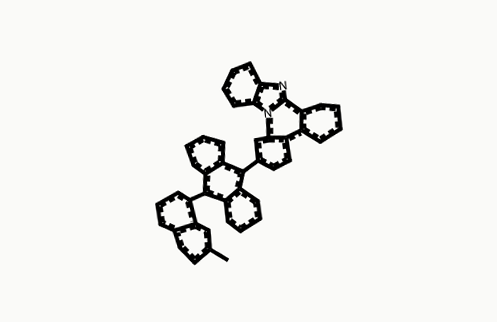 Cc1ccc2cccc(-c3c4ccccc4c(-c4ccc5c6ccccc6c6nc7ccccc7n6c5c4)c4ccccc34)c2c1